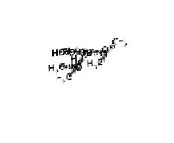 CCCCCCCCC(CCCCCC)C(=O)OCCCCCCCOCC(COCCOCCOCCOCCO)OCCCCCCOC(=O)C(CCCCCC)NCCCCCCC